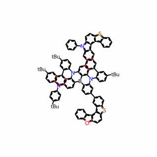 CC(C)(C)c1ccc(N(c2ccc(C(C)(C)C)cc2)c2ccc3c(c2)N(c2ccc(C(C)(C)C)cc2-c2ccccc2)c2cc(-c4ccc5c6c7c(ccc6n(-c6ccccc6)c5c4)sc4ccccc47)cc4c2B3c2ccc(-c3ccc5sc6ccc7oc8ccccc8c7c6c5c3)cc2N4c2ccc(C(C)(C)C)cc2-c2ccccc2)cc1